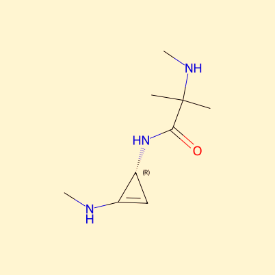 CNC1=C[C@H]1NC(=O)C(C)(C)NC